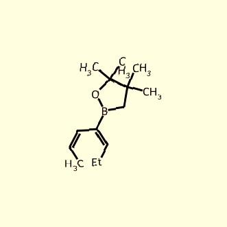 C/C=C\C(=C/CC)B1CC(C)(C)C(C)(C)O1